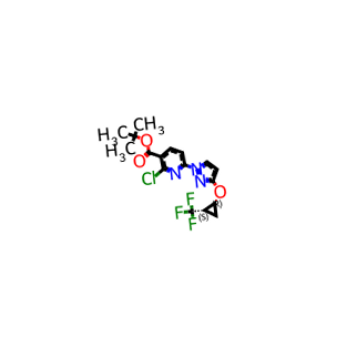 CC(C)(C)OC(=O)c1ccc(-n2ccc(O[C@@H]3C[C@@H]3C(F)(F)F)n2)nc1Cl